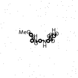 COc1ccc(Oc2ccccc2NC(=O)c2ccc(CNc3ccc4c(c3)C(=O)N(C3CCC(=O)NC3=O)C4=O)cc2)cc1